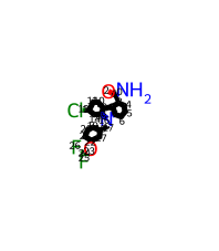 NC(=O)c1cccc2c1c1[c]cc(Cl)cc1n2Cc1cccc(OC(F)F)c1